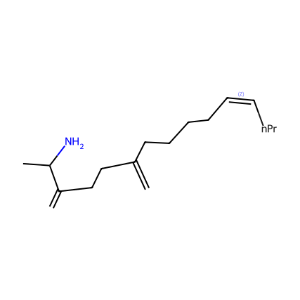 C=C(CCCC/C=C\CCC)CCC(=C)C(C)N